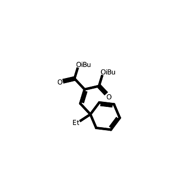 CCC1(C=C(C(=O)OCC(C)C)C(=O)OCC(C)C)C=CC=CC1